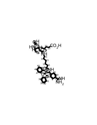 N=C(N)c1ccc(C(NC(=O)CCCCCNC(=O)[C@@]2(CCCCC(=O)O)SC[C@@H]3NC(=O)N[C@@H]32)P(=O)(Oc2ccccc2)Oc2ccccc2)cc1